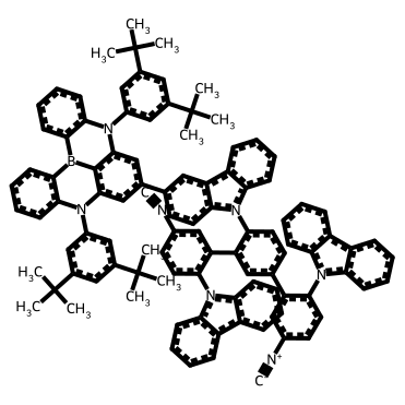 [C-]#[N+]c1ccc(-n2c3ccccc3c3ccccc32)c(-c2ccc(-n3c4ccccc4c4cc(-c5cc6c7c(c5)N(c5cc(C(C)(C)C)cc(C(C)(C)C)c5)c5ccccc5B7c5ccccc5N6c5cc(C(C)(C)C)cc(C(C)(C)C)c5)ccc43)c(-c3cc([N+]#[C-])ccc3-n3c4ccccc4c4ccccc43)c2)c1